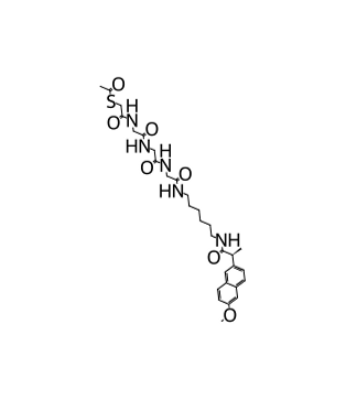 COc1ccc2cc([C@H](C)C(=O)NCCCCCCNC(=O)CNC(=O)CNC(=O)CNC(=O)CSC(C)=O)ccc2c1